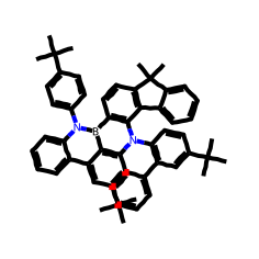 CC(C)(C)c1ccc(N2B3c4ccc5c(c4N(c4ccc(C(C)(C)C)cc4-c4ccccc4)c4cc(C(C)(C)C)cc(c43)-c3ccccc32)-c2ccccc2C5(C)C)cc1